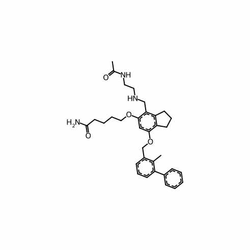 CC(=O)NCCNCc1c(OCCCCC(N)=O)cc(OCc2cccc(-c3ccccc3)c2C)c2c1CCC2